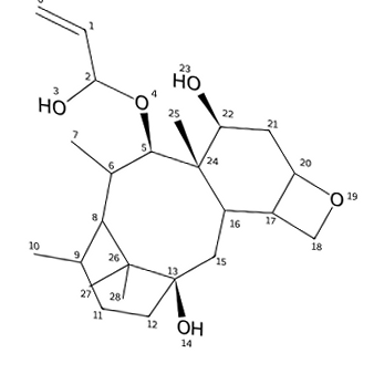 C=CC(O)O[C@@H]1C(C)C2C(C)CC[C@@](O)(CC3C4COC4C[C@H](O)[C@]31C)C2(C)C